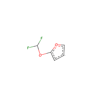 FC(F)Oc1c[c]co1